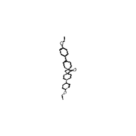 CCOC1CCC(C2CC[C@]3(CC2)C[C@@]2(CC[C@H](C4CCC(OCC)CC4)CC2)C3=O)CC1